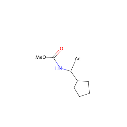 COC(=O)NC(C(C)=O)C1CCCC1